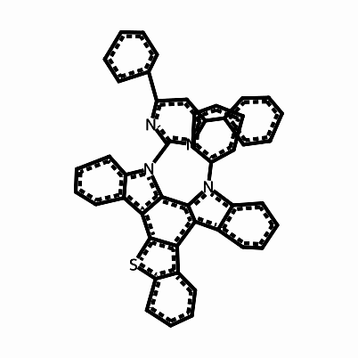 c1ccc(-c2cc(-c3ccccc3)nc(-n3c4ccccc4c4c5sc6ccccc6c5c5c6ccccc6n(-c6ccccc6)c5c43)n2)cc1